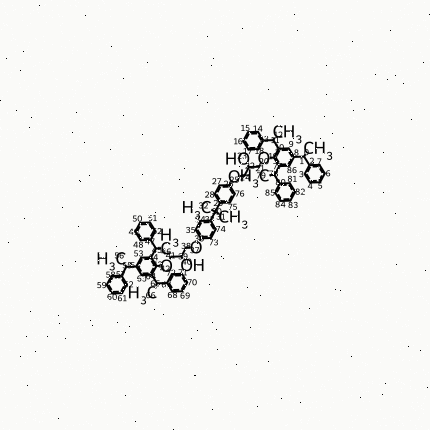 CC(c1ccccc1)c1cc(C(C)c2ccccc2)c(OCC(O)COc2ccc(C(C)(C)c3ccc(OCC(O)COc4c(C(C)c5ccccc5)cc(C(C)c5ccccc5)cc4C(C)c4ccccc4)cc3)cc2)c(C(C)c2ccccc2)c1